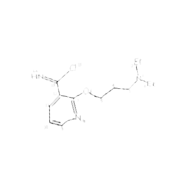 CCN(CC)CCCOc1ncccc1C(=N)Cl